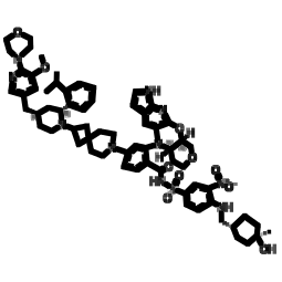 COc1cc(C[C@@H]2CCN(C3CC4(CCN(c5ccc(C(=O)NS(=O)(=O)c6ccc(NC[C@H]7CC[C@](C)(O)CC7)c([N+](=O)[O-])c6)c(N6c7cc8cc[nH]c8nc7O[C@H]7COCC[C@@H]76)c5)CC4)C3)[C@@H](c3ccccc3C(C)C)C2)cnc1N1CCOCC1